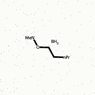 B.CCCCCONC